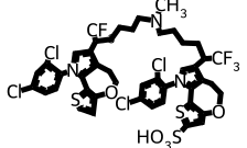 CN(CCCCC(c1cn(-c2ccc(Cl)cc2Cl)c2c1CCOc1ccsc1-2)C(F)(F)F)CCCCC(c1cn(-c2ccc(Cl)cc2Cl)c2c1CCOc1cc(S(=O)(=O)O)sc1-2)C(F)(F)F